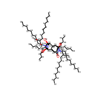 CCCCCCCCCCC(CCCCCCCC)Cn1c(=O)c2c[c]([Sn]([CH2]CCC)([CH2]CCC)[CH2]CCC)c(c1=O)c1c3c[c]([Sn]([CH2]CCC)([CH2]CCC)[CH2]CCC)c(c(=O)n(CC(CCCCCCCC)CCCCCCCCCC)c3=O)c21